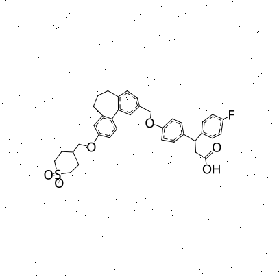 O=C(O)CC(c1ccc(F)cc1)c1ccc(OCc2ccc3c(c2)-c2ccc(OCC4CCS(=O)(=O)CC4)cc2CCC3)cc1